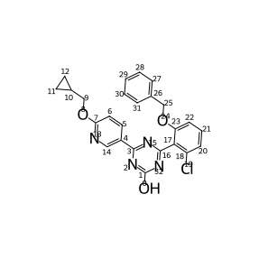 Oc1nc(-c2ccc(OCC3CC3)nc2)nc(-c2c(Cl)cccc2OCc2ccccc2)n1